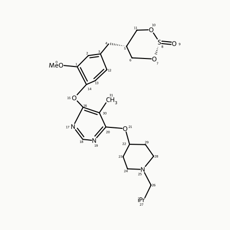 COc1cc(C[C@H]2CO[S@@](=O)OC2)ccc1Oc1ncnc(OC2CCN(CC(C)C)CC2)c1C